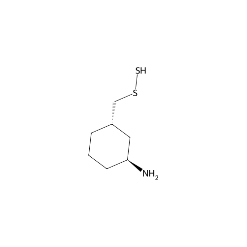 N[C@H]1CCC[C@H](CSS)C1